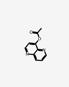 CC(=O)Oc1ccnc2cccnc12